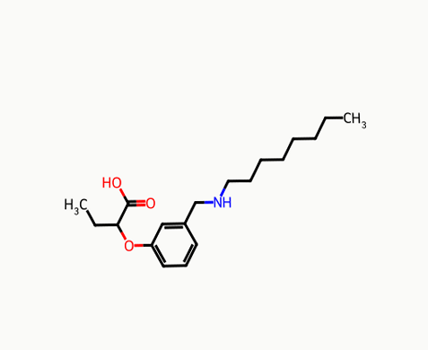 CCCCCCCCNCc1cccc(OC(CC)C(=O)O)c1